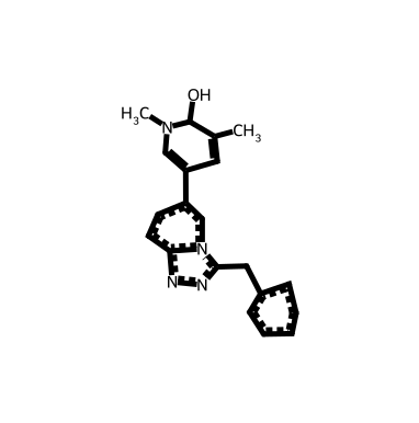 CC1=CC(c2ccc3nnc(Cc4ccccc4)n3c2)=CN(C)C1O